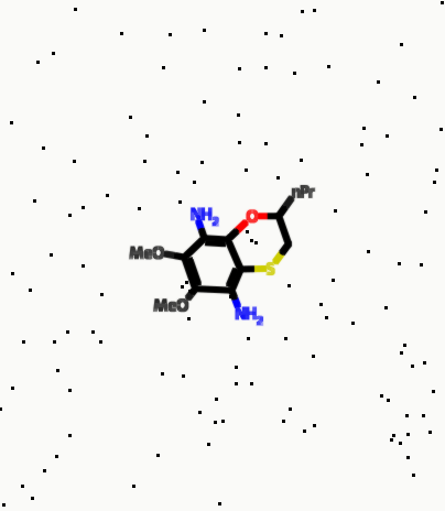 CCCC1CSc2c(N)c(OC)c(OC)c(N)c2O1